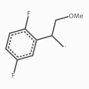 [CH2]C(COC)c1cc(F)ccc1F